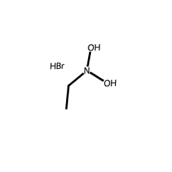 Br.CCN(O)O